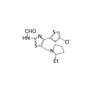 CCC1CCCN1Cc1sc(NC=O)nc1-c1cc(Cl)cs1